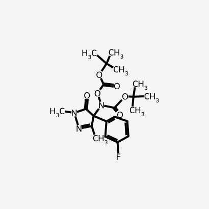 CC1=NN(C)C(=O)C1(c1cccc(F)c1)N(OC(=O)OC(C)(C)C)C(=O)OC(C)(C)C